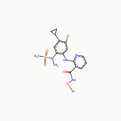 CCONC(=O)c1cccnc1Nc1cc(Cl)c(C2CC2)cc1N(C)S(C)(=O)=O